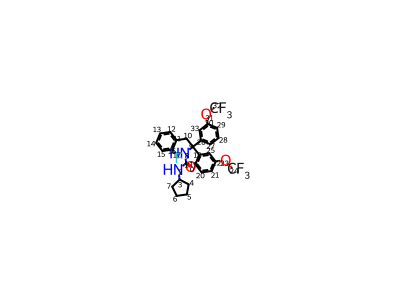 O=C(NC1CCCC1)NC(Cc1ccccc1F)(c1cccc(OC(F)(F)F)c1)c1cccc(OC(F)(F)F)c1